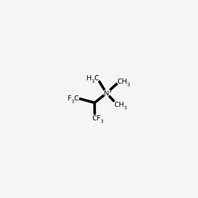 C[N+](C)(C)C(C(F)(F)F)C(F)(F)F